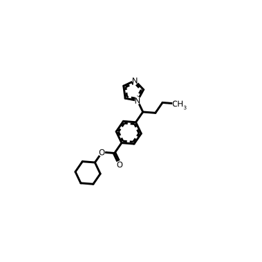 CCCC(c1ccc(C(=O)OC2CCCCC2)cc1)n1ccnc1